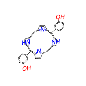 Oc1cccc(-c2c3nc(cc4ccc([nH]4)c(-c4cccc(O)c4)c4nc(cc5ccc2[nH]5)C=C4)C=C3)c1